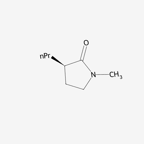 CCC[C@@H]1CCN(C)C1=O